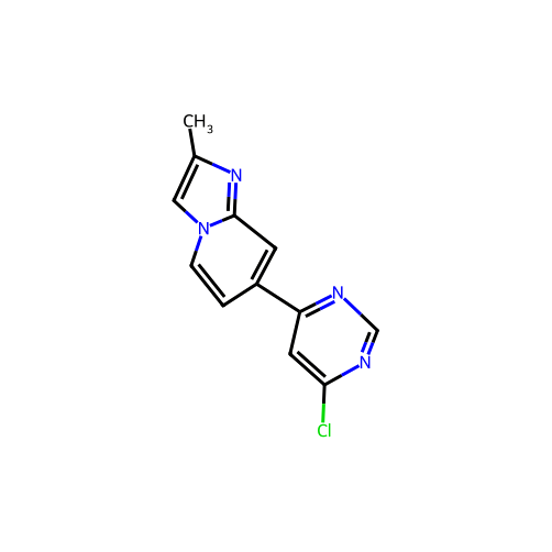 Cc1cn2ccc(-c3cc(Cl)ncn3)cc2n1